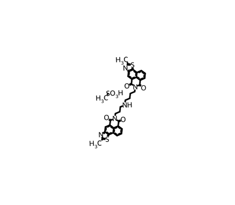 CS(=O)(=O)O.Cc1nc2cc3c4c(cccc4c2s1)C(=O)N(CCCCNCCCN1C(=O)c2cccc4c2c(cc2nc(C)sc24)C1=O)C3=O